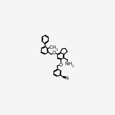 Cc1c(COc2cc(OCc3cccc(C#N)c3)c(CN)c3c2CCC3)cccc1-c1ccccc1